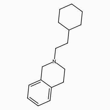 c1ccc2c(c1)CCN(CCC1CCCCC1)C2